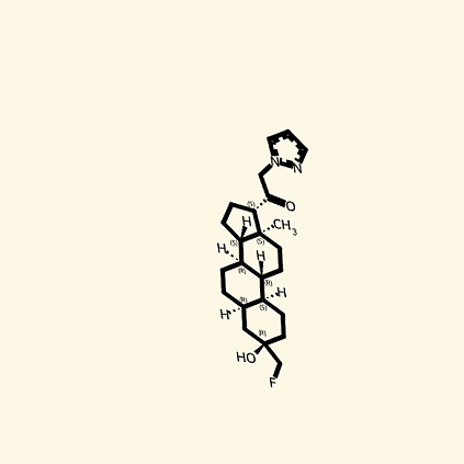 C[C@]12CC[C@H]3[C@@H](CC[C@@H]4C[C@@](O)(CF)CC[C@@H]43)[C@@H]1CC[C@@H]2C(=O)Cn1cccn1